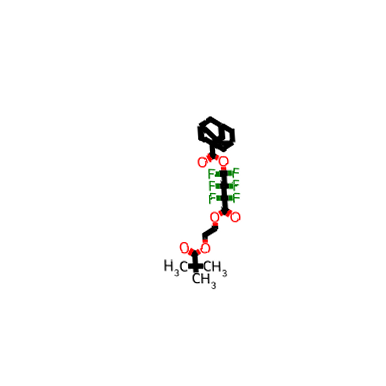 CC(C)(C)C(=O)OCCOC(=O)C(F)(F)C(F)(F)C(F)(F)OC(=O)C12CC3CC(CC(C3)C1)C2